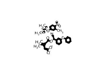 CC1(C)C(C=C(Cl)Cl)C1C(=O)OC(C#N)c1cccc(Oc2ccccc2)c1.COP(=S)(OC)Oc1ccc([N+](=O)[O-])c(C)c1